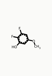 COc1cc(O)c(F)c(F)c1